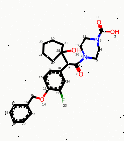 O=C(O)N1CCN(C(=O)C(c2ccc(OCc3ccccc3)c(F)c2)C2(O)CCCCC2)CC1